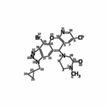 CN1CCN(Cc2cc(Cl)cnc2Oc2ccc3c(nnn3CC3CC3)c2Br)CC1=O